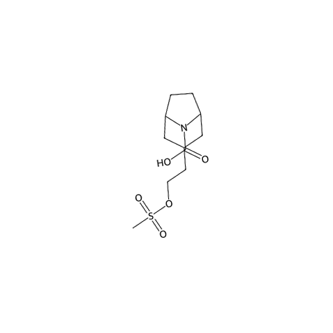 CS(=O)(=O)OCCC1CC2CCC(C1)N2C(=O)O